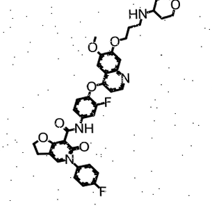 COc1cc2c(Oc3ccc(NC(=O)c4c5c(cn(-c6ccc(F)cc6)c4=O)CCO5)cc3F)ccnc2cc1OCCCNC1CCOCC1